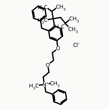 CC(C)C(C)(CC(C)(C)C)c1ccc(OCCOCC[N+](C)(C)Cc2ccccc2)cc1Cc1ccccc1.[Cl-]